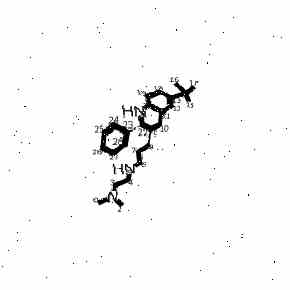 CN(C)CCNCCC[C@@H]1Cc2cc(C(C)(C)C)ccc2N[C@H]1C1C=CC=CC1